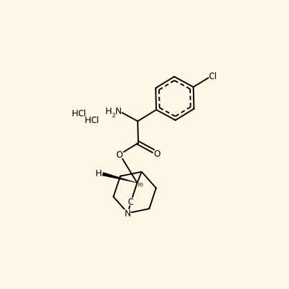 Cl.Cl.NC(C(=O)O[C@H]1CN2CCC1CC2)c1ccc(Cl)cc1